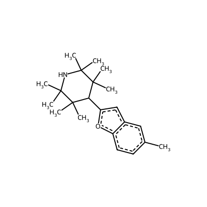 Cc1ccc2oc(C3C(C)(C)C(C)(C)NC(C)(C)C3(C)C)cc2c1